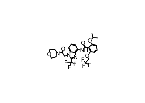 CC(C)Oc1cccc(OCC(F)(F)F)c1C(=O)Nc1cccc2c1nc(C(F)(F)F)n2CC(=O)N1CCOCC1